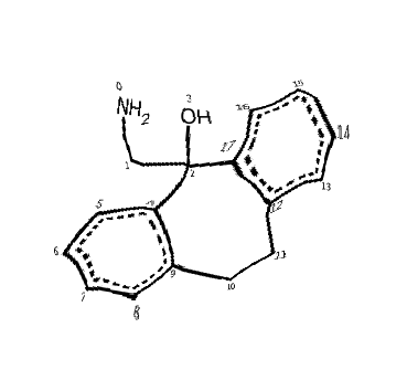 NCC1(O)c2ccccc2CCc2ccccc21